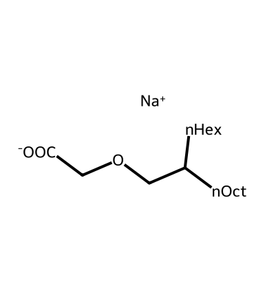 CCCCCCCCC(CCCCCC)COCC(=O)[O-].[Na+]